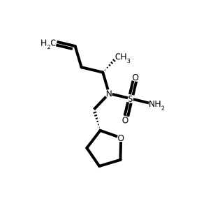 C=CC[C@H](C)N(C[C@H]1CCCO1)S(N)(=O)=O